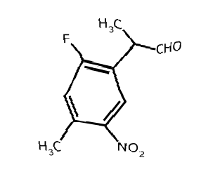 Cc1cc(F)c(C(C)C=O)cc1[N+](=O)[O-]